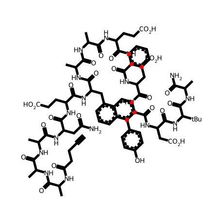 C#CCCC(=O)NC(C)C(=O)NC(C)C(=O)NC(C)C(=O)NC(CC(N)=O)C(=O)NC(CCC(=O)O)C(=O)NC(Cc1cccc2ccccc12)C(=O)NC(C)C(=O)NC(C)C(=O)NC(CCC(=O)O)C(=O)NC(CC(=O)O)C(=O)NC(Cc1ccccc1)C(=O)NC(Cc1ccc(O)cc1)C(=O)NC(CC(=O)O)C(=O)NC(C(=O)NC(C)C(N)=O)C(C)(C)C